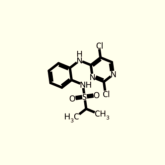 CC(C)S(=O)(=O)Nc1ccccc1Nc1nc(Cl)ncc1Cl